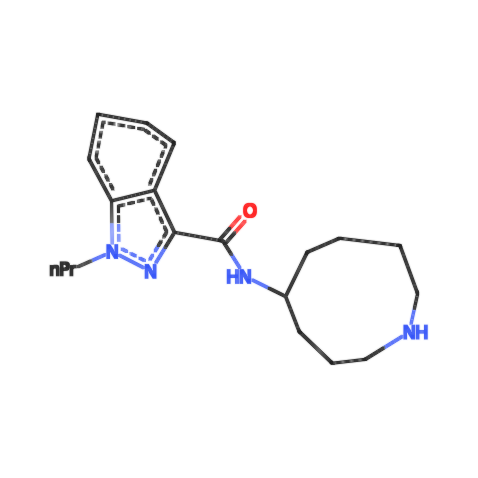 CCCn1nc(C(=O)NC2CCCCNCCC2)c2ccccc21